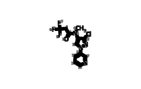 CN(C(=O)CC(F)(F)F)c1cn(-c2cccnc2)nc1Cl